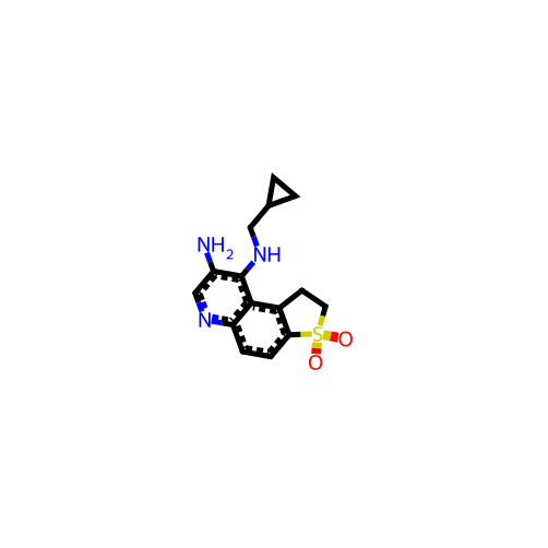 Nc1cnc2ccc3c(c2c1NCC1CC1)CCS3(=O)=O